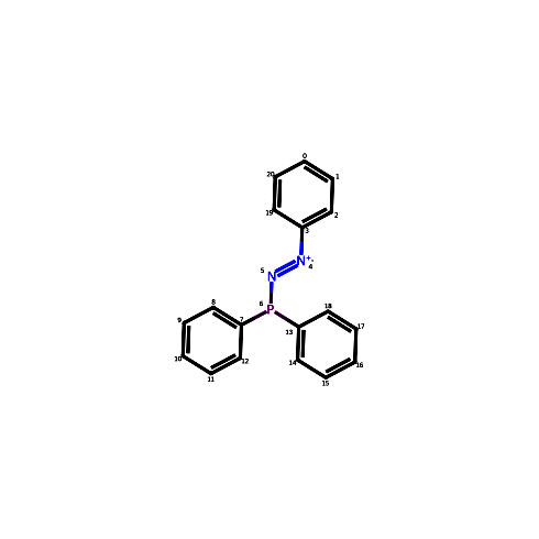 c1ccc([N+]=NP(c2ccccc2)c2ccccc2)cc1